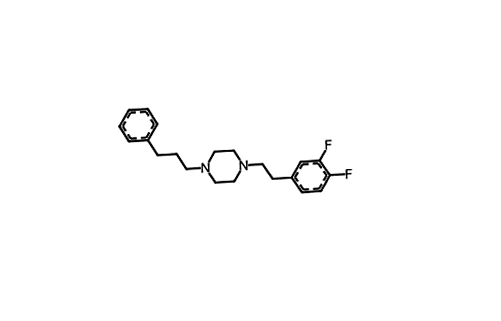 Fc1ccc(CCN2CCN(CCCc3ccccc3)CC2)cc1F